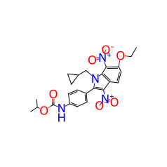 CCOc1ccc2c([N+](=O)[O-])c(-c3ccc(NC(=O)OC(C)C)cc3)n(CC3CC3)c2c1[N+](=O)[O-]